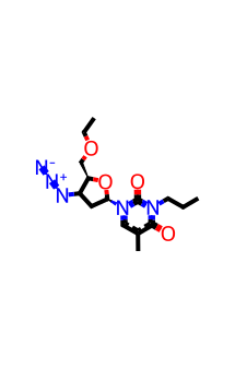 CCCn1c(=O)c(C)cn([C@H]2CC(N=[N+]=[N-])[C@@H](COCC)O2)c1=O